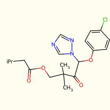 CC(C)CC(=O)OCC(C)(C)C(=O)C(Oc1ccc(Cl)cc1)n1cncn1